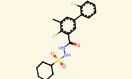 Cc1cc(-c2ccccc2F)cc(C(=O)NNS(=O)(=O)C2CCCCC2)c1F